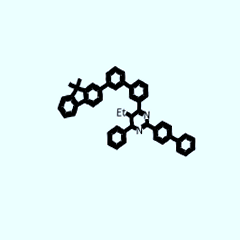 CCC1C(c2cccc(-c3cccc(-c4ccc5c(c4)C(C)(C)c4ccccc4-5)c3)c2)=NC(c2ccc(-c3ccccc3)cc2)=NC1c1ccccc1